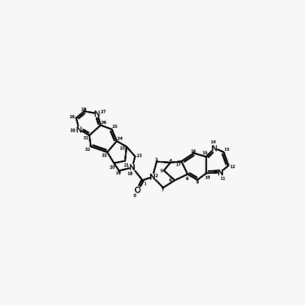 O=C(N1CC2CC(C1)c1cc3nccnc3cc12)N1CC2CC(C1)c1cc3nccnc3cc12